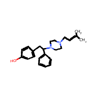 CC(C)=CCN1CCN(C(Cc2ccc(O)cc2)c2ccccc2)CC1